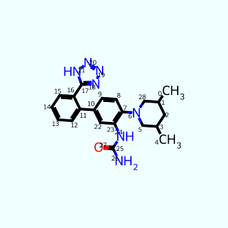 CC1CC(C)CN(c2ccc(-c3ccccc3-c3nnn[nH]3)cc2NC(N)=O)C1